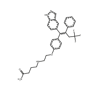 NC(=O)CCCNCCOc1ccc(C(=C(CC(F)(F)F)c2ccccc2)c2ccc3[nH]ncc3c2)cc1